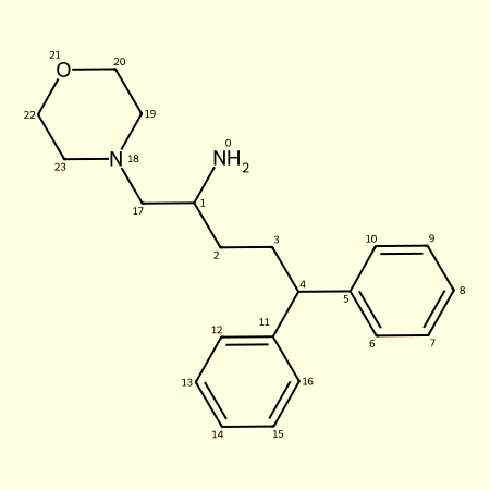 NC(CCC(c1ccccc1)c1ccccc1)CN1CCOCC1